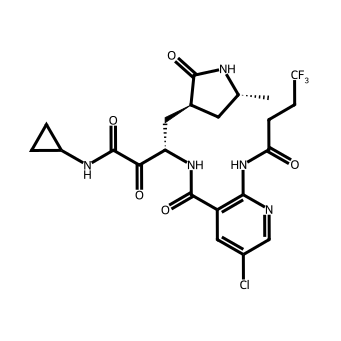 C[C@@H]1C[C@@H](C[C@H](NC(=O)c2cc(Cl)cnc2NC(=O)CCC(F)(F)F)C(=O)C(=O)NC2CC2)C(=O)N1